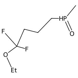 CCOC(F)(F)CCC[PH](C)=O